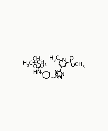 COC(=O)c1cc(-c2nnn(C[C@H]3CC[C@@H](NC(=O)OC(C)(C)C)CC3)n2)cc(C)n1